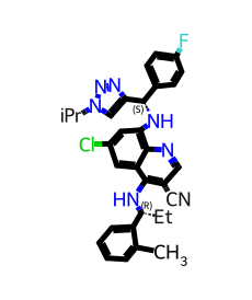 CC[C@@H](Nc1c(C#N)cnc2c(N[C@@H](c3ccc(F)cc3)c3cn(C(C)C)nn3)cc(Cl)cc12)c1ccccc1C